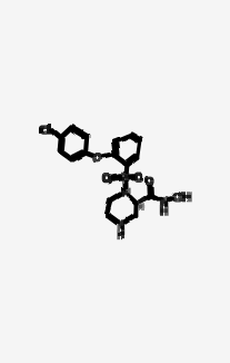 O=C(NO)[C@H]1CNCCN1S(=O)(=O)c1ccccc1Oc1ccc(Cl)cc1